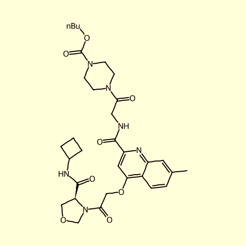 CCCCOC(=O)N1CCN(C(=O)CNC(=O)c2cc(OCC(=O)N3COC[C@H]3C(=O)NC3CCC3)c3ccc(C)cc3n2)CC1